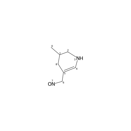 CC1CNC=C(CN=O)C1